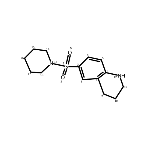 O=S(=O)(c1ccc2c(c1)CCCN2)N1CCCCC1